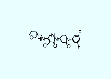 O=C1C[C@@H](n2ncc(NC[C@H]3CCCOC3)c(Cl)c2=O)CCN1c1cc(F)cc(F)c1